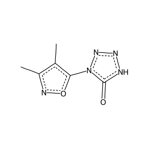 Cc1noc(-n2nn[nH]c2=O)c1C